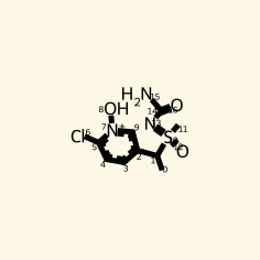 CC(c1ccc(Cl)[n+](O)c1)S(C)(=O)=NC(N)=O